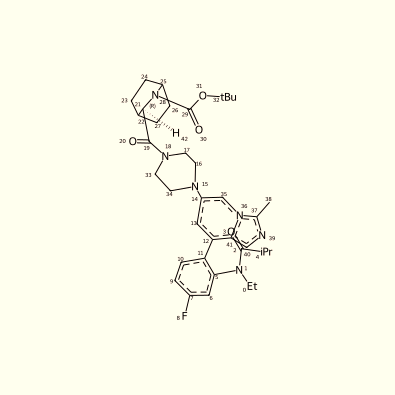 CCN(C(=O)C(C)C)c1cc(F)ccc1-c1cc(N2CCN(C(=O)[C@H]3C4CCC(CC4)N3C(=O)OC(C)(C)C)CC2)cn2c(C)ncc12